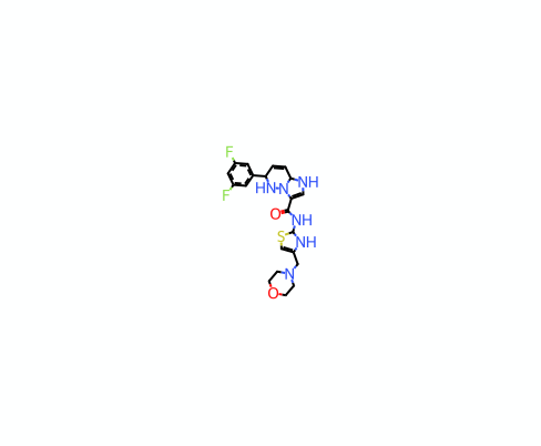 O=C(NC1NC(CN2CCOCC2)=CS1)C1=CNC2C=CC(c3cc(F)cc(F)c3)NN12